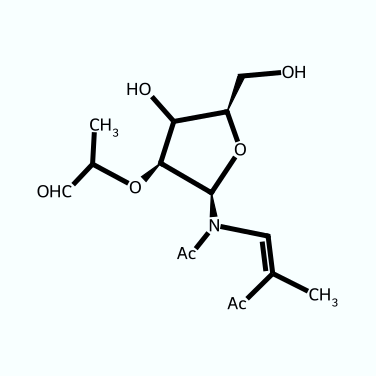 CC(=O)/C(C)=C\N(C(C)=O)[C@@H]1O[C@H](CO)C(O)[C@@H]1OC(C)C=O